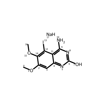 COc1cc2nc(O)nc(N)c2c(I)c1OC.[NaH]